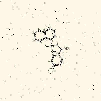 CCC(CC(C)(O)c1ccnc2ccccc12)c1ccc(C(F)(F)F)cc1